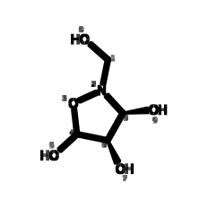 OCN1OC(O)[C@H](O)[C@@H]1O